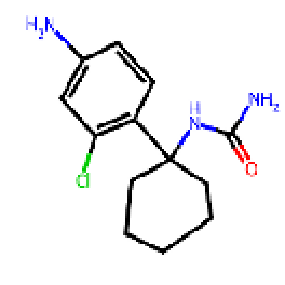 NC(=O)NC1(c2ccc(N)cc2Cl)CCCCC1